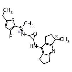 CCc1cc(F)c(/S(C)=N/C2OC2Nc2c3c(nc4c2CC[C@H]4C)CCC3)s1